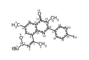 C/C(=N/[S+]([O-])C(C)(C)C)c1cc(C)cc2c(=O)n(C)c(-c3ccc(I)nc3)nc12